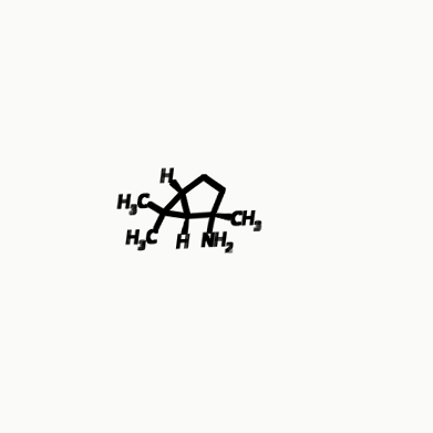 CC1(C)[C@@H]2CC[C@](C)(N)[C@@H]21